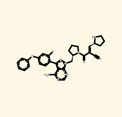 N#C/C(=C\[C@@H]1CCCN1)C(=O)N1CCC[C@@H]1Cn1nc(-c2ccc(Oc3ccccc3)cc2F)c2c(N)ncnc21